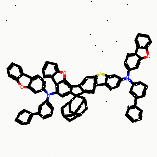 c1ccc(-c2cccc(N(c3ccc4c(c3)oc3ccccc34)c3ccc4c(c3)sc3cc5c(cc34)C3(c4cc(N(c6cccc(-c7ccccc7)c6)c6ccc7c(c6)oc6ccccc67)c6c(oc7ccccc76)c4-5)C4CC5CC(C4)CC3C5)c2)cc1